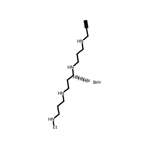 Br.Br.Br.Br.C#CCNCCCNCCCNCCCNCC